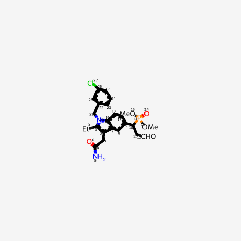 CCc1c(CC(N)=O)c2cc(C(CC=O)P(=O)(OC)OC)ccc2n1Cc1cccc(Cl)c1